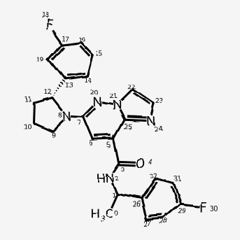 CC(NC(=O)c1cc(N2CCC[C@@H]2c2cccc(F)c2)nn2ccnc12)c1ccc(F)cc1